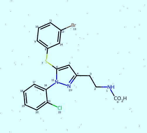 O=C(O)NCCc1cc(Sc2cccc(Br)c2)n(-c2ccccc2Cl)n1